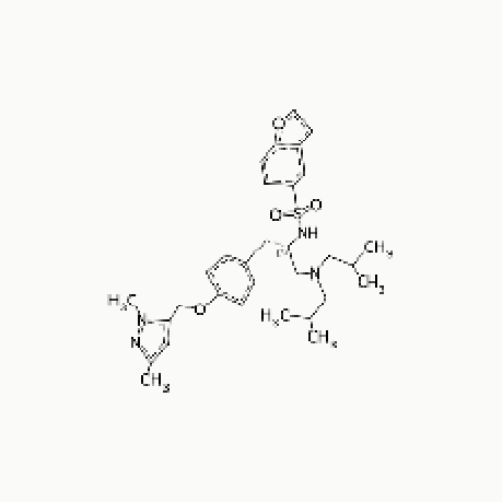 Cc1cc(COc2ccc(C[C@@H](CN(CC(C)C)CC(C)C)NS(=O)(=O)c3ccc4occc4c3)cc2)n(C)n1